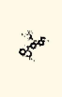 CC1CCN(C(=O)c2ccc(-c3ccc4[nH]ccc4c3)c(NC(=O)CN(C)C)c2)c2ccccc2N1